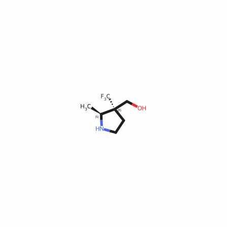 C[C@@H]1NCC[C@@]1(CO)C(F)(F)F